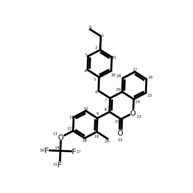 CCc1ccc(Cc2c(-c3ccc(OC(F)(F)F)cc3C)c(=O)oc3ccccc23)cc1